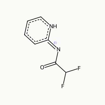 O=C(/N=c1\cccc[nH]1)C(F)F